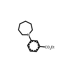 CCOC(=O)c1cccc(N2CCCCCC2)c1